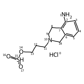 Cl.Nc1cccc2c1CCN(CCCO[SH](=O)=O)C2